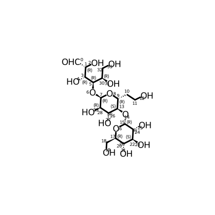 O=C[C@H](O)[C@@H](O)[C@H](O[C@H]1O[C@H](CCO)[C@@H](O[C@H]2O[C@H](CO)[C@@H](O)[C@H](O)[C@H]2O)[C@H](O)[C@H]1O)[C@H](O)CO